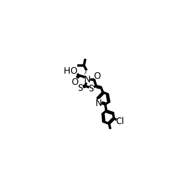 Cc1ccc(-c2ccc(/C=C3\SC(=S)N([C@@H](CC(C)C)C(=O)O)C3=O)cn2)cc1Cl